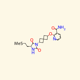 CSCC[C@@H]1NC(=O)N([C@H]2CC3(C[C@H](Oc4ncccc4C(N)=O)C3)C2)C1=O